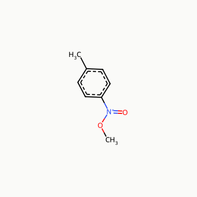 CO[N+](=O)c1ccc(C)cc1